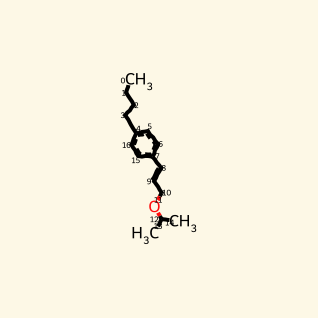 CCCCc1ccc(C=CCOC(C)C)cc1